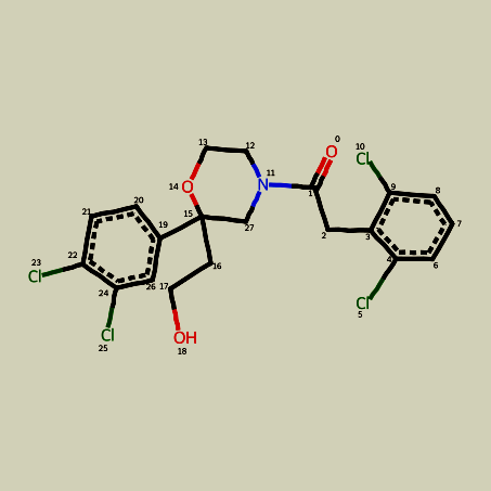 O=C(Cc1c(Cl)cccc1Cl)N1CCOC(CCO)(c2ccc(Cl)c(Cl)c2)C1